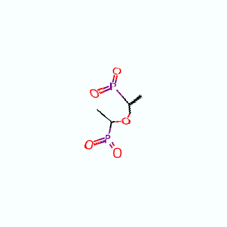 CC(OC(C)P(=O)=O)P(=O)=O